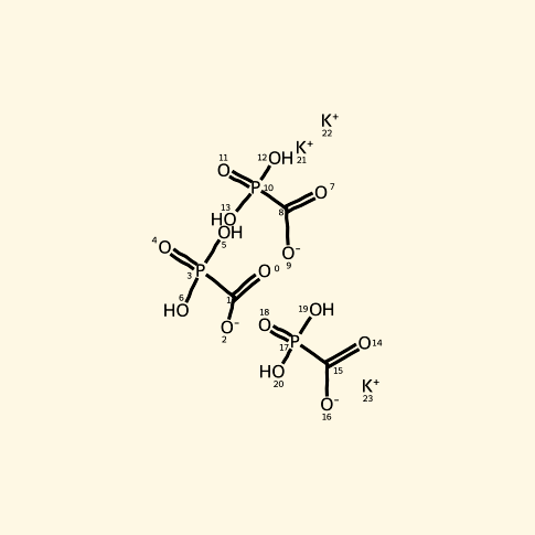 O=C([O-])P(=O)(O)O.O=C([O-])P(=O)(O)O.O=C([O-])P(=O)(O)O.[K+].[K+].[K+]